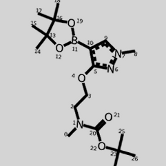 CN(CCOc1nn(C)cc1B1OC(C)(C)C(C)(C)O1)C(=O)OC(C)(C)C